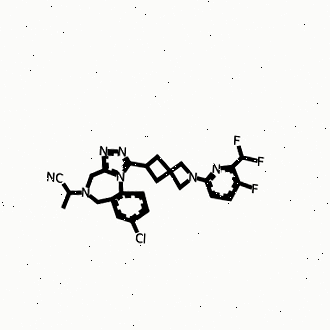 CC(C#N)N1Cc2cc(Cl)ccc2-n2c(nnc2C2CC3(C2)CN(c2ccc(F)c(C(F)F)n2)C3)C1